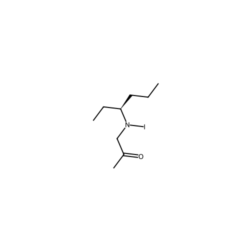 CCC[C@H](CC)N(I)CC(C)=O